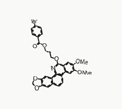 COc1cc2c(OCCCOC(=O)c3ccc(Br)cc3)nc3c4cc5c(cc4ccc3c2cc1OC)OCO5